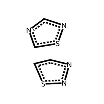 c1csnn1.c1ncsn1